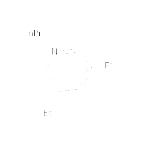 CCC[n+]1cccc(CC)c1.[F-]